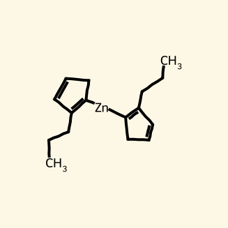 CCCC1=[C]([Zn][C]2=C(CCC)C=CC2)CC=C1